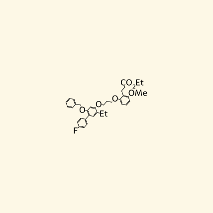 CCOC(=O)CCc1c(OC)cccc1OCCCOc1cc(OCc2ccccc2)c(-c2ccc(F)cc2)cc1CC